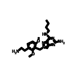 CCCCNc1nc(N)nc2cn(Cc3c(OC)ccc(CCN)c3OC)nc12